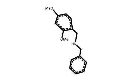 COc1ccc(CN[CH]c2ccccc2)c(OC)c1